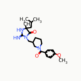 COc1ccc(C(=O)N2CCCC(CN3C(=N)NC(C)(CC(C)C)C3=O)C2)cc1